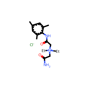 CC[N+](CC)(CC(N)=O)CC(=O)Nc1c(C)cc(C)cc1C.[Cl-]